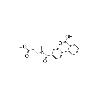 COC(=O)CCNC(=O)c1ccc(-c2ccccc2C(=O)O)cc1